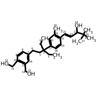 CCC(CC)(CCc1ccc(CO)c(CO)c1)c1ccc(C=CC(O)C(C)(C)C)c(C)c1